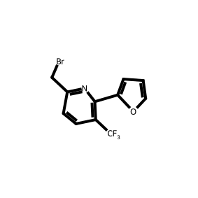 FC(F)(F)c1ccc(CBr)nc1-c1ccco1